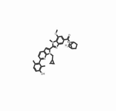 COc1cc(C(=O)N2CC3CCC2[C@@H]3N)cc2nc(-c3cc4ccc(-c5c(C)ccc(O)c5C)nc4n3CC3CC3)n(C)c12